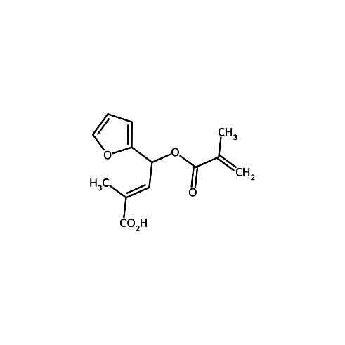 C=C(C)C(=O)OC(C=C(C)C(=O)O)c1ccco1